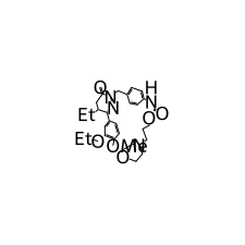 CCOc1cc(C2=NN(Cc3ccc(NC(=O)OCCCN4CCOCC4)cc3)C(=O)CC2CC)ccc1OC